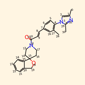 Cc1cn(-c2ccc(/C=C/C(=O)N3CCC4(CC3)OCc3ccccc34)cc2C)c(C)n1